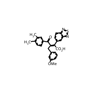 COc1cccc(C/C(C(=O)c2ccc(C)c(C)c2)=C(\C(=O)O)c2ccc3nsnc3c2)c1